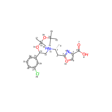 C[C@H](Cc1nc(C(=O)O)co1)NCC(O[Si](C)(C)OC(C)(C)C)c1cccc(Cl)c1